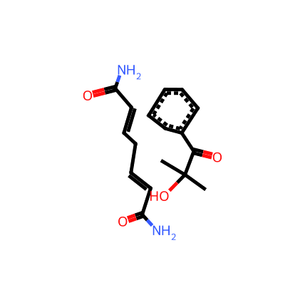 CC(C)(O)C(=O)c1ccccc1.NC(=O)C=CCC=CC(N)=O